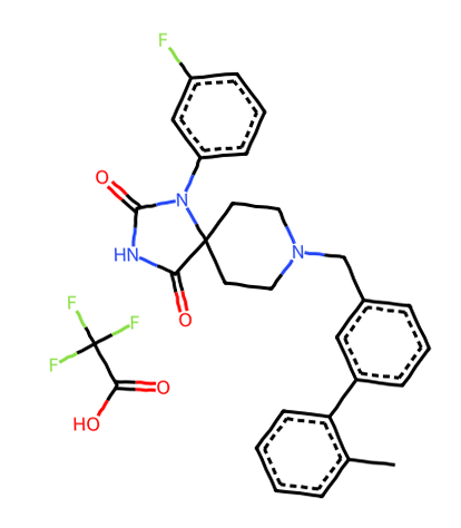 Cc1ccccc1-c1cccc(CN2CCC3(CC2)C(=O)NC(=O)N3c2cccc(F)c2)c1.O=C(O)C(F)(F)F